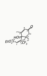 CCOC(=O)/C=C(/C(F)(F)F)C1(O)C(C)=CC(=O)CC1(C)C